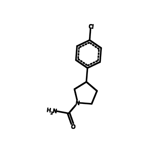 NC(=O)N1CCC(c2ccc(Cl)cc2)C1